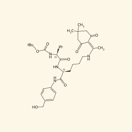 CC(NCCCC[C@H](NC(=O)[C@@H](NC(=O)OC(C)(C)C)C(C)C)C(=O)Nc1ccc(CO)cc1)=C1C(=O)CC(C)(C)CC1=O